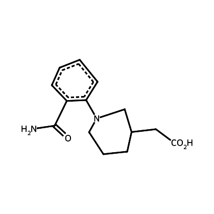 NC(=O)c1ccccc1N1CCCC(CC(=O)O)C1